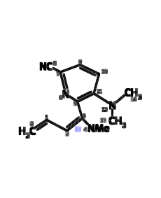 C=C/C=C(/NC)c1nc(C#N)ccc1N(C)C